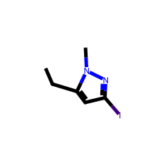 CCc1cc(I)nn1C